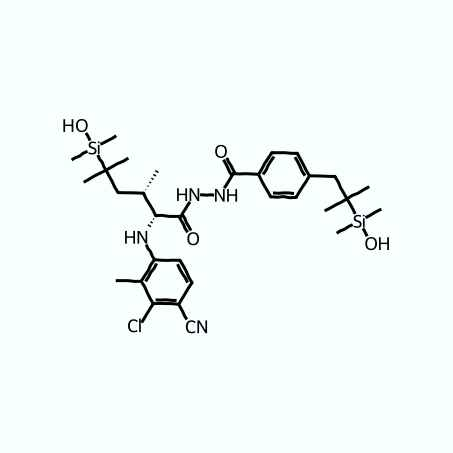 Cc1c(N[C@@H](C(=O)NNC(=O)c2ccc(CC(C)(C)[Si](C)(C)O)cc2)[C@@H](C)CC(C)(C)[Si](C)(C)O)ccc(C#N)c1Cl